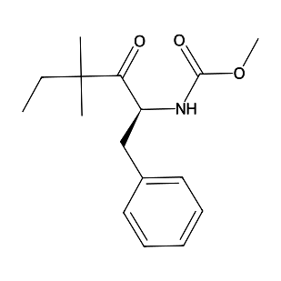 CCC(C)(C)C(=O)[C@H](Cc1ccccc1)NC(=O)OC